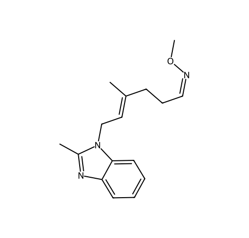 CO/N=C\CC/C(C)=C/Cn1c(C)nc2ccccc21